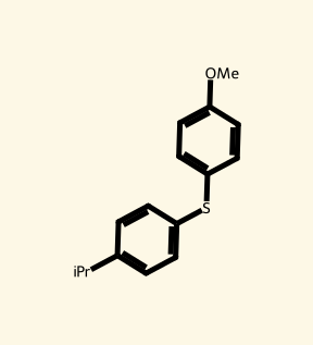 COc1ccc(Sc2ccc(C(C)C)cc2)cc1